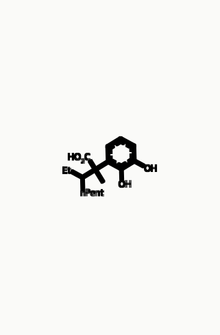 CCCCCC(CC)C(C)(C(=O)O)c1cccc(O)c1O